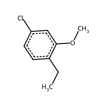 CCc1ccc(Cl)cc1OC